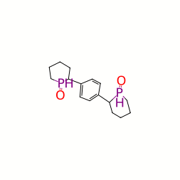 O=[PH]1CCCCC1c1ccc(C2CCCC[PH]2=O)cc1